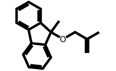 C=C(C)COC1(C)c2ccccc2-c2ccccc21